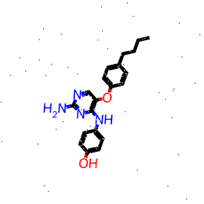 CCCCc1ccc(Oc2cnc(N)nc2Nc2ccc(O)cc2)cc1